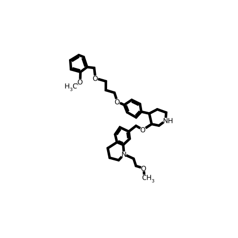 COCCN1CCCc2ccc(COC3CNCCC3c3ccc(OCCCOCc4ccccc4OC)cc3)cc21